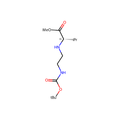 COC(=O)[C@@H](NCCNC(=O)OC(C)(C)C)C(C)C